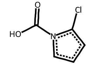 O=C(O)n1cccc1Cl